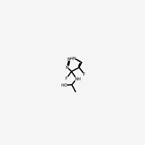 CC(O)NC1(F)N=NNC=C1F